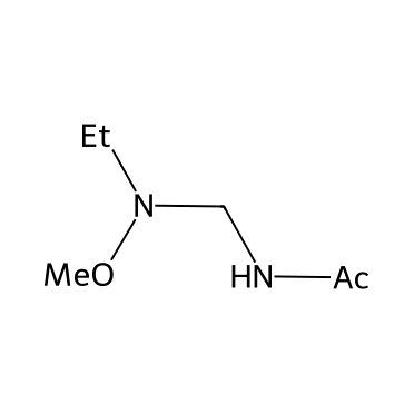 CCN(CNC(C)=O)OC